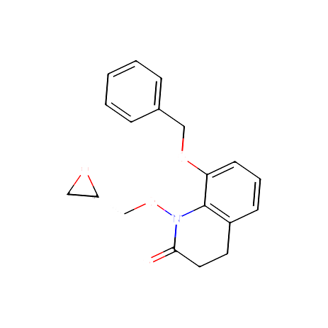 O=C1CCc2cccc(OCc3ccccc3)c2N1OC[C@@H]1CO1